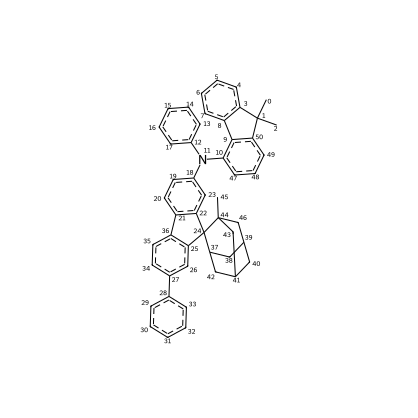 CC1(C)c2ccccc2-c2c(N(c3ccccc3)c3ccc4c(c3)C3(c5cc(-c6ccccc6)ccc5-4)C4CC5CC(C4)CC3(C)C5)cccc21